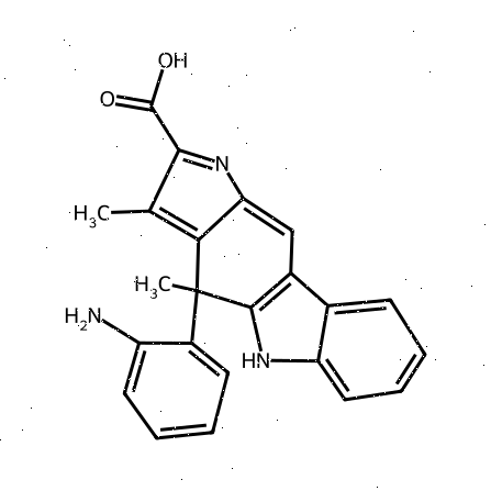 CC1=C2C(=Cc3c([nH]c4ccccc34)C2(C)c2ccccc2N)N=C1C(=O)O